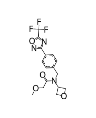 COCC(=O)N(Cc1ccc(-c2noc(C(F)(F)F)n2)cc1)C1COC1